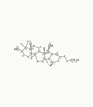 C[C@@H]1CC(CCC(=O)O)OC2C1C1(C)CCC34CC35CCC(O)C(C)(C)[C@@H]5CCC4[C@]1(C)[C@H]2O